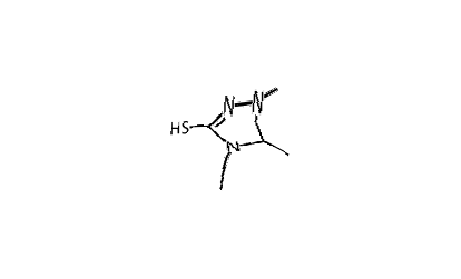 CC1N(C)N=C(S)N1C